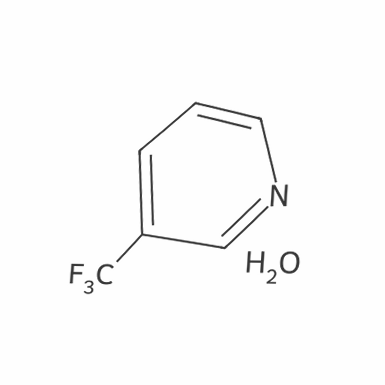 FC(F)(F)c1cccnc1.O